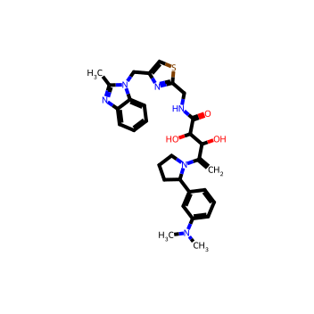 C=C(C(O)C(O)C(=O)NCc1nc(Cn2c(C)nc3ccccc32)cs1)N1CCCC1c1cccc(N(C)C)c1